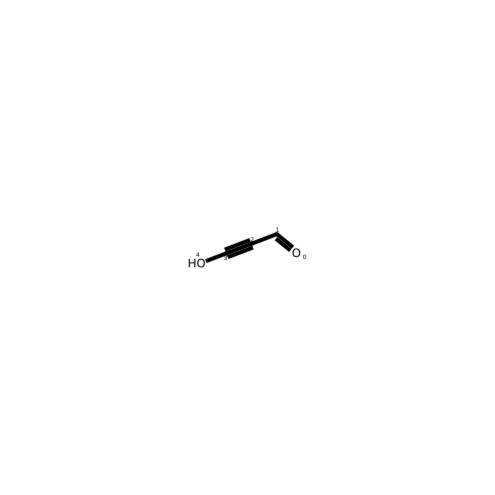 O=CC#CO